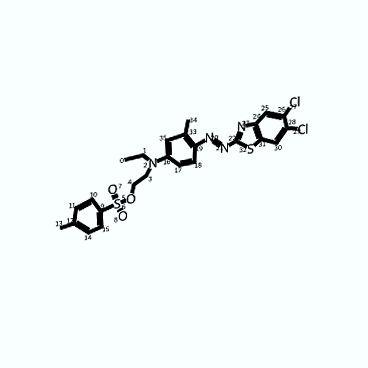 CCN(CCOS(=O)(=O)c1ccc(C)cc1)c1ccc(N=Nc2nc3cc(Cl)c(Cl)cc3s2)c(C)c1